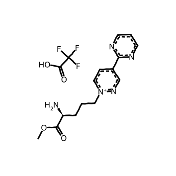 COC(=O)[C@@H](N)CCC[n+]1ccc(-c2ncccn2)cn1.O=C(O)C(F)(F)F